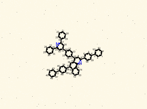 c1ccc(-c2ccc(-c3cc(-c4ccc(-c5cc(-c6ccccc6)nc(-c6ccccc6)c5)cc4)c4cc(-c5ccc(-c6ccccc6)cc5)c5ccccc5c4n3)cc2)cc1